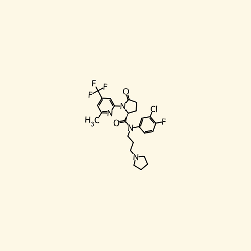 Cc1cc(C(F)(F)F)cc(N2C(=O)CC[C@H]2C(=O)N(CCCN2CCCC2)c2ccc(F)c(Cl)c2)n1